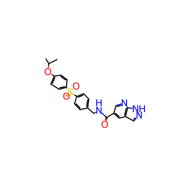 CC(C)Oc1ccc(S(=O)(=O)c2ccc(CNC(=O)c3cnc4[nH]ncc4c3)cc2)cc1